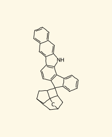 c1ccc2c(c1)-c1c(ccc3c1[nH]c1cc4ccccc4cc13)C21C2CC3CC4CC1C2(C3)C4